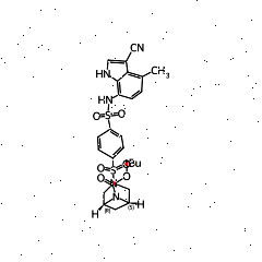 Cc1ccc(NS(=O)(=O)c2ccc(S(=O)(=O)N3C[C@H]4C[C@@H](C3)N4C(=O)OC(C)(C)C)cc2)c2[nH]cc(C#N)c12